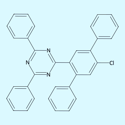 Clc1cc(-c2ccccc2)c(-c2nc(-c3ccccc3)nc(-c3ccccc3)n2)cc1-c1ccccc1